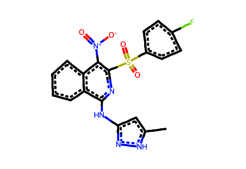 Cc1cc(Nc2nc(S(=O)(=O)c3ccc(F)cc3)c([N+](=O)[O-])c3ccccc23)n[nH]1